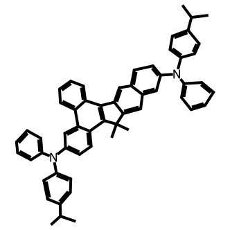 CC(C)c1ccc(N(c2ccccc2)c2ccc3cc4c(cc3c2)C(C)(C)c2c-4c3ccccc3c3cc(N(c4ccccc4)c4ccc(C(C)C)cc4)ccc23)cc1